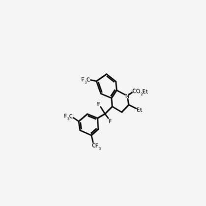 CCOC(=O)N1c2ccc(C(F)(F)F)cc2C(C(F)(F)c2cc(C(F)(F)F)cc(C(F)(F)F)c2)CC1CC